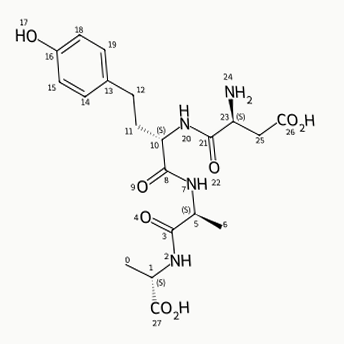 C[C@H](NC(=O)[C@H](C)NC(=O)[C@H](CCc1ccc(O)cc1)NC(=O)[C@@H](N)CC(=O)O)C(=O)O